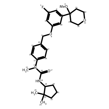 COC1(c2cc(F)cc(OCc3ccc(N(C)C(=O)NC4CCCC4(C)C)cc3)c2)CCOCC1